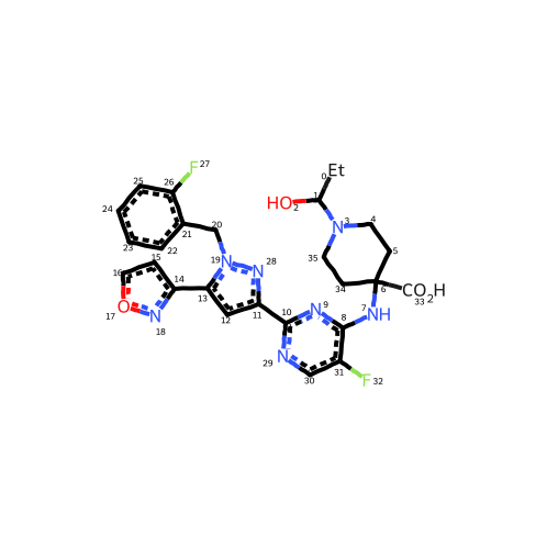 CCC(O)N1CCC(Nc2nc(-c3cc(-c4ccon4)n(Cc4ccccc4F)n3)ncc2F)(C(=O)O)CC1